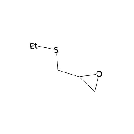 CCSCC1CO1